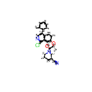 Cc1ccccc1-c1cnc(Cl)c2cc(O[C@H](C)C(=O)N3CCC[C@H](C#N)C3)ccc12